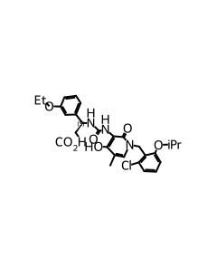 CCOc1cccc([C@H](CC(=O)O)NC(=O)Nc2c(O)c(C)cn(Cc3c(Cl)cccc3OC(C)C)c2=O)c1